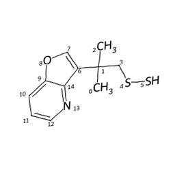 CC(C)(CSS)c1coc2cccnc12